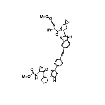 COO/C=N/[C@H](C(=O)N1CC2(CC2)C[C@H]1c1nc2cc(C#Cc3ccc(-c4c[nH]c([C@@H]5CCCN5C(=O)[C@@H](NC(=O)OC)C(C)C)n4)cc3)ccc2[nH]1)C(C)C